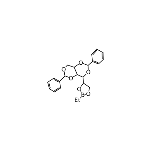 CCB1OCC(C2OC(c3ccccc3)OC3COC(c4ccccc4)OC32)O1